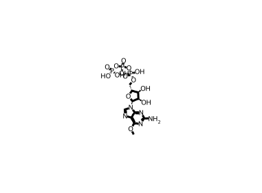 COc1nc(N)nc2c1ncn2[C@@H]1O[C@H](COP(=O)(O)OP(=O)(O)OP(=O)(O)O)[C@@H](O)[C@H]1O